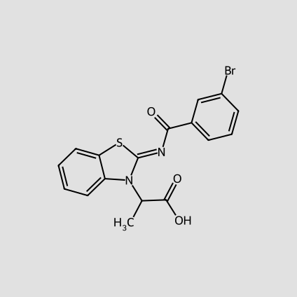 CC(C(=O)O)n1/c(=N/C(=O)c2cccc(Br)c2)sc2ccccc21